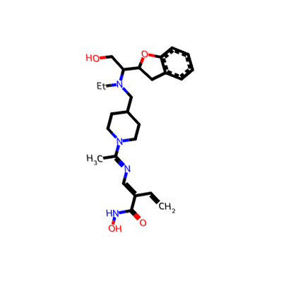 C=C/C(=C\N=C(/C)N1CCC(CN(CC)C(CO)C2Cc3ccccc3O2)CC1)C(=O)NO